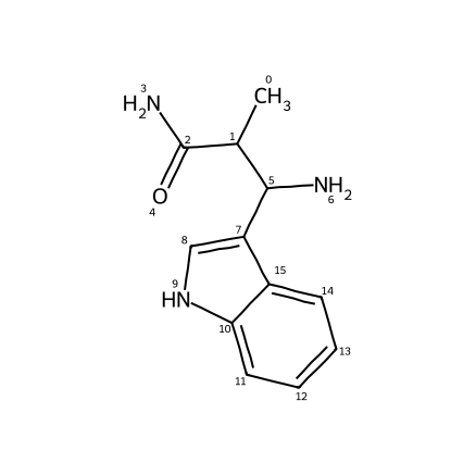 CC(C(N)=O)C(N)c1c[nH]c2ccccc12